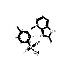 CC1N=C2C(=CC=CN2C)O1.Cc1ccc(S(=O)(=O)O)cc1